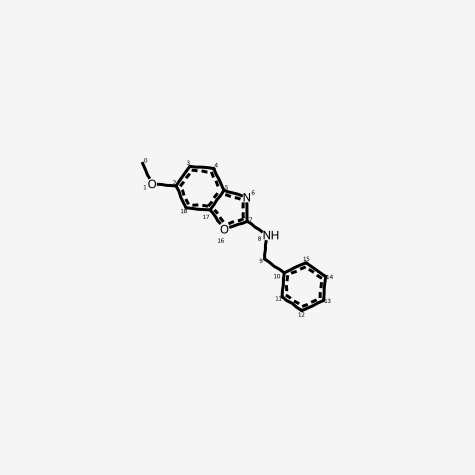 COc1ccc2nc(NCc3ccccc3)oc2c1